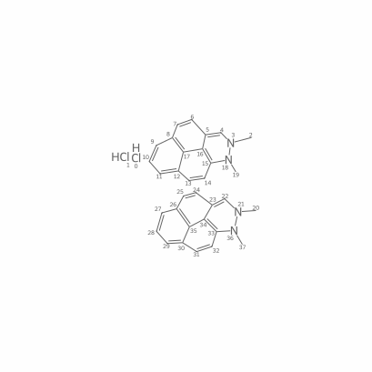 Cl.Cl.Cn1cc2ccc3cccc4ccc(c2c34)n1C.Cn1cc2ccc3cccc4ccc(c2c34)n1C